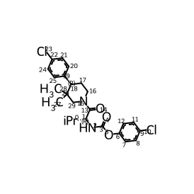 CC(C)[C@@H](NC(=O)Oc1ccc(Cl)cc1)C(=O)N1CC[C@H](c2ccc(Cl)cc2)C(C)(C)C1